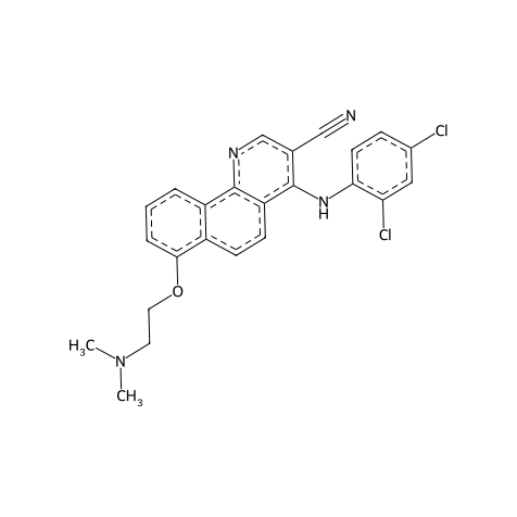 CN(C)CCOc1cccc2c1ccc1c(Nc3ccc(Cl)cc3Cl)c(C#N)cnc12